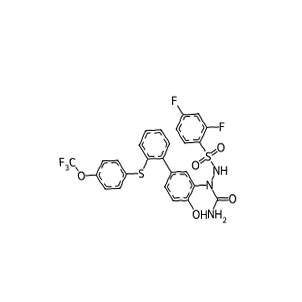 NC(=O)N(NS(=O)(=O)c1ccc(F)cc1F)c1cc(-c2ccccc2Sc2ccc(OC(F)(F)F)cc2)ccc1O